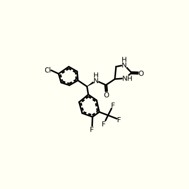 O=C1NCC(C(=O)N[C@H](c2ccc(Cl)cc2)c2ccc(F)c(C(F)(F)F)c2)N1